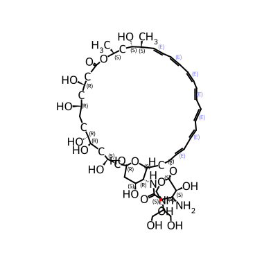 C[C@H]1C[C@H](O)[C@@H](C)/C=C/C=C/C=C/C=C/C=C/C=C/C=C/[C@H](O[C@@H]2OC[C@@H](O)[C@H](N)[C@@H]2O)C[C@@H]2O[C@](O)(C[C@@H](O)C[C@@H](O)[C@H](O)CC[C@@H](O)C[C@@H](O)CC(=O)O1)C[C@H](O)[C@H]2NC(=O)NC(CO)CO